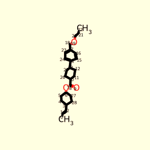 C/C=C/C1CCC(OC(=O)C2CCC(c3ccc(COCCC)cc3)CC2)CC1